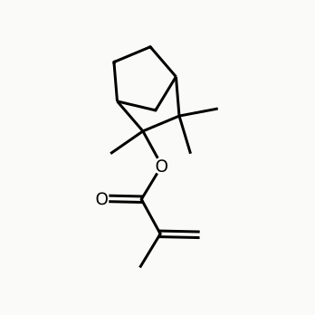 C=C(C)C(=O)OC1(C)C2CCC(C2)C1(C)C